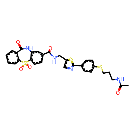 CC(=O)NCCCSc1ccc(-c2ncc(CNC(=O)c3ccc4c(c3)NC(=O)c3ccccc3S4(=O)=O)s2)cc1